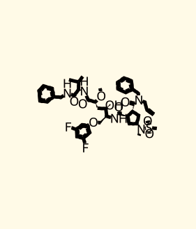 C=CCN(Cc1ccccc1)C(=O)[C@@H]1C[C@H](N(C)S(C)(=O)=O)C[C@H]1C(=O)N[C@@H](COc1cc(F)cc(F)c1)[C@@H](O)C[C@@H](OC)C(=O)N[C@H](C(=O)NCc1ccccc1)C(C)C